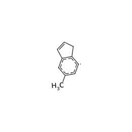 Cc1c[c]c2c(c1)C=CC2